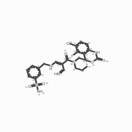 N=C/C(=C\NCc1cccc(S(N)(=O)=O)c1)C(=O)N1CCC[C@@]2(C1)OC(=O)Nc1ccc(Cl)c(F)c12